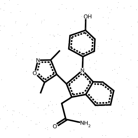 Cc1noc(C)c1-c1c(CC(N)=O)c2ccccc2n1-c1ccc(O)cc1